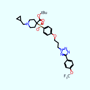 CC(C)(C)OC(=O)C1(S(=O)(=O)c2ccc(OCCCn3nnc(-c4ccc(OC(F)(F)F)cc4)n3)cc2)CCN(CC2CC2)CC1